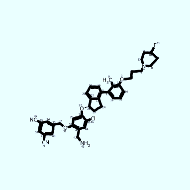 Cc1c(OCCCN2CCC(F)CC2)cccc1-c1cccc2c1CC[C@@H]2Oc1cc(OCc2cc(C#N)cc(C#N)c2)c(CN)cc1Cl